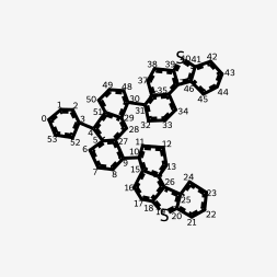 c1ccc(-c2c3cccc(-c4cccc5c4ccc4sc6ccccc6c45)c3cc3c(-c4cccc5c4ccc4sc6ccccc6c45)cccc23)cc1